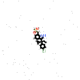 CCC(c1ccc(Cl)cc1)(c1c[nH]c2c(CS(C)(=O)=O)cccc12)C1CC1